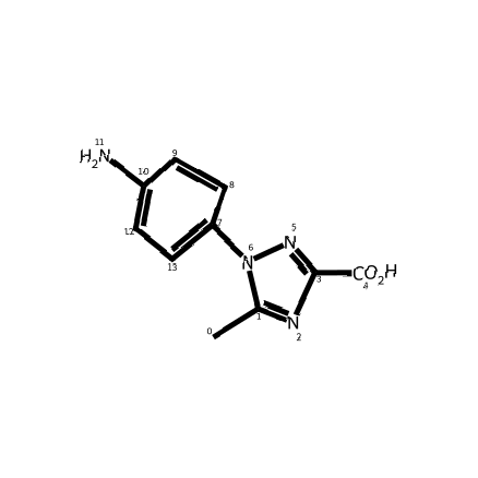 Cc1nc(C(=O)O)nn1-c1ccc(N)cc1